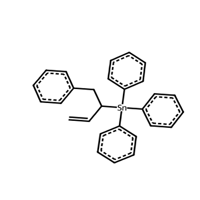 C=C[CH](Cc1ccccc1)[Sn]([c]1ccccc1)([c]1ccccc1)[c]1ccccc1